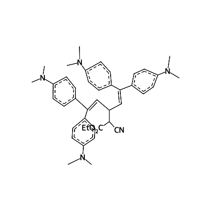 CCOC(=O)C(C#N)C(C=C(c1ccc(N(C)C)cc1)c1ccc(N(C)C)cc1)C=C(c1ccc(N(C)C)cc1)c1ccc(N(C)C)cc1